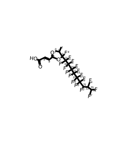 CC(C)C(F)(OC(=O)C=CC(=O)O)C(F)(F)C(F)(F)C(F)(F)C(F)(F)C(F)(F)C(F)(F)C(F)C(F)C(F)F